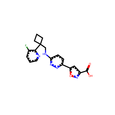 O=C(O)c1cc(-c2ccc(NCC3(c4ncccc4F)CCC3)nn2)on1